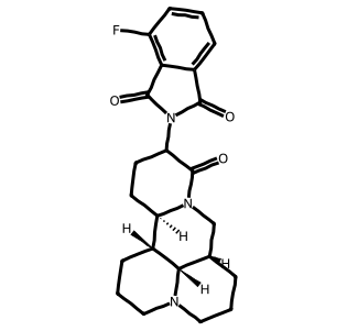 O=C1c2cccc(F)c2C(=O)N1C1CC[C@@H]2[C@H]3CCCN4CCC[C@@H](CN2C1=O)[C@@H]34